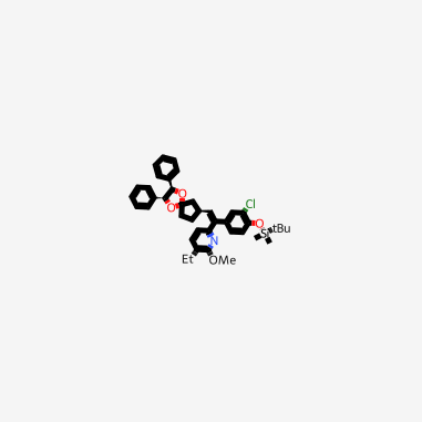 CCc1ccc(/C(=C\[C@H]2CCC3(C2)O[C@H](c2ccccc2)[C@@H](c2ccccc2)O3)c2ccc(O[Si](C)(C)C(C)(C)C)c(Cl)c2)nc1OC